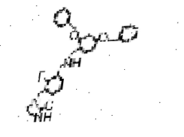 O=C1NCCN1Cc1cccc(CNCc2ccc(OCc3ccccc3)cc2OCc2ccccc2)c1F